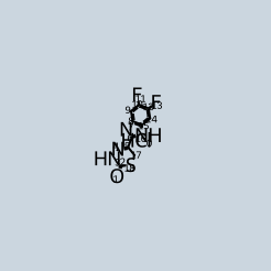 Cl.O=C1NN=C(c2nc3cc(F)c(F)cc3[nH]2)CS1